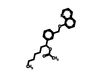 CCCCCCC(OC(C)=O)c1cccc(COc2cccc3cccnc23)c1